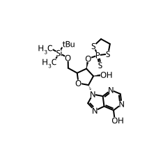 CC(C)(C)[Si](C)(C)OCC1O[C@@H](n2cnc3c(O)ncnc32)[C@H](O)[C@@H]1OP1(=S)SCCS1